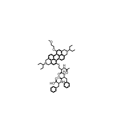 CCC(CC)N1Cc2ccc3c4c(SCC(NC(C)=O)C(=O)NC(Cc5ccccc5)C(=O)NC(Cc5ccccc5)C(=O)O)cc5c6c(ccc(c7c(OCCOC)cc(c2c37)C1)c64)CN(C(CC)CC)C5